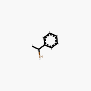 CC(S)c1cc[c]cc1